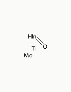 [Mo].[O]=[InH].[Ti]